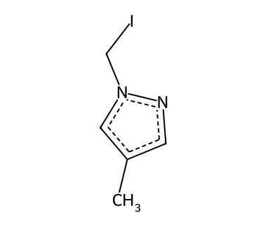 Cc1cnn(CI)c1